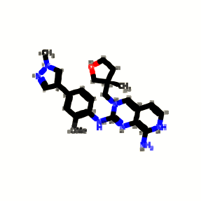 COc1cc(-c2cnn(C)c2)ccc1NC1=NC2=C(N)NC=CC2=CN1C[C@@]1(C)CCOC1